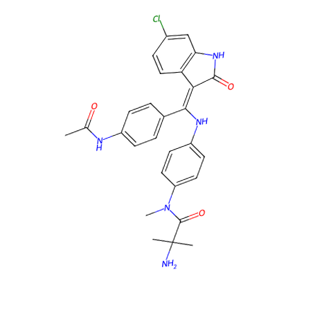 CC(=O)Nc1ccc(/C(Nc2ccc(N(C)C(=O)C(C)(C)N)cc2)=C2/C(=O)Nc3cc(Cl)ccc32)cc1